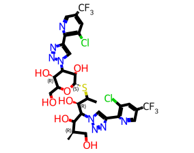 CC(S[C@@H]1OC(CO)[C@H](O)C(n2cc(-c3ncc(C(F)(F)F)cc3Cl)nn2)C1O)[C@H](O)C(C(O)[C@H](C)CO)n1cc(-c2ncc(C(F)(F)F)cc2Cl)nn1